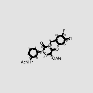 COc1nn(-c2cccc(NC(C)=O)c2)c(=O)n(Cc2ccc(Cl)c(F)c2)c1=O